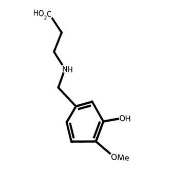 COc1ccc(CNCCC(=O)O)cc1O